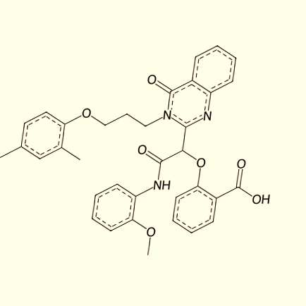 COc1ccccc1NC(=O)C(Oc1ccccc1C(=O)O)c1nc2ccccc2c(=O)n1CCCOc1ccc(C)cc1C